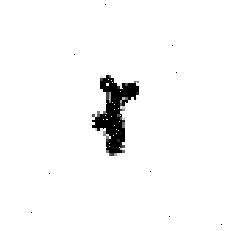 c1ccc(-c2nc(-c3ccccc3)nc(-c3ccc(-n4c5ccccc5c5c6oc(-c7ccccc7)nc6ccc54)cc3)n2)cc1